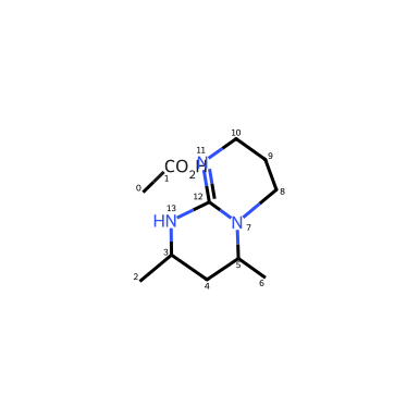 CC(=O)O.CC1CC(C)N2CCCN=C2N1